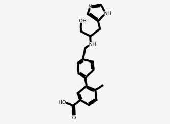 Cc1ccc(C(=O)O)cc1-c1ccc(CNC(CO)Cc2cnc[nH]2)cc1